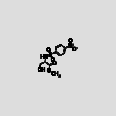 COC(=O)C(CO)NS(=O)(=O)c1ccc([N+](=O)[O-])cc1